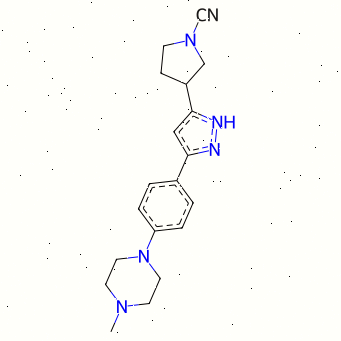 CN1CCN(c2ccc(-c3cc(C4CCN(C#N)C4)[nH]n3)cc2)CC1